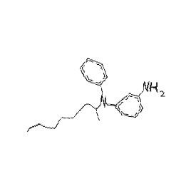 CCCCCCC(C)N(c1ccccc1)c1cccc(N)c1